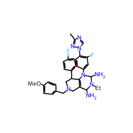 CCN1C(N)C2=C(C(c3ccc(F)cc3)CN(Cc3ccc(OC)cc3)C2)N(c2ccc(-n3cnc(C)n3)c(F)c2)C1N